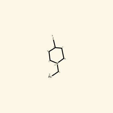 CC(=O)CN1CCC(I)CC1